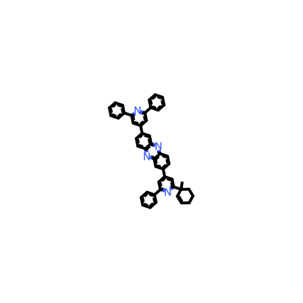 CC1(c2cc(-c3ccc4nc5cc(-c6cc(-c7ccccc7)nc(-c7ccccc7)c6)ccc5nc4c3)cc(-c3ccccc3)n2)C=CCCC1